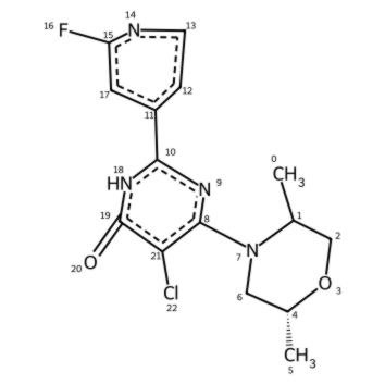 CC1CO[C@H](C)CN1c1nc(-c2ccnc(F)c2)[nH]c(=O)c1Cl